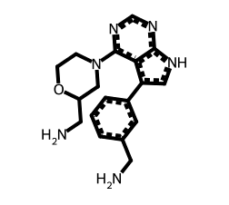 NCc1cccc(-c2c[nH]c3ncnc(N4CCOC(CN)C4)c23)c1